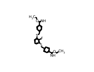 CCOC(=N)c1ccc(CSc2cccc(SCc3ccc(C(=N)OCC)cc3)c2F)cc1